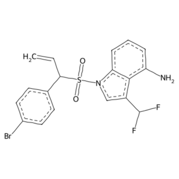 C=CC(c1ccc(Br)cc1)S(=O)(=O)n1cc(C(F)F)c2c(N)cccc21